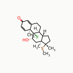 CS[C@@]1(C)CC[C@H]2[C@@H]3CCC4=CC(=O)C=C[C@]4(C)[C@@]3(F)[C@@H](O)C[C@@]21C